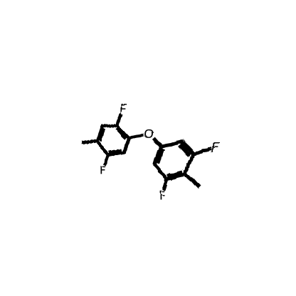 Cc1cc(F)c(Oc2cc(F)c(C)c(F)c2)cc1F